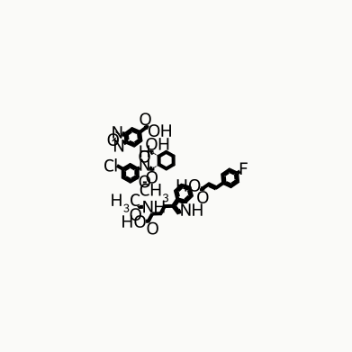 CC(=O)NC(CCc1c[nH]c2ccccc12)C(=O)O.COc1ccc(Cl)cc1NC(=O)[C@H]1CCCC[C@H]1C(=O)O.O=C(O)C=Cc1ccc(F)cc1.O=C(O)c1ccc2nonc2c1